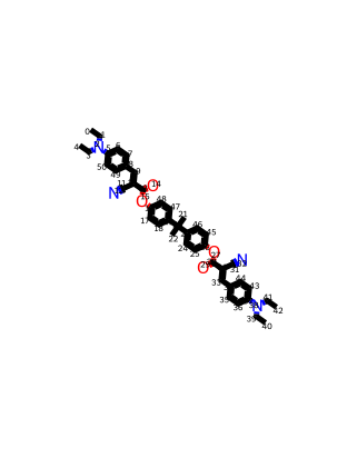 CCN(CC)c1ccc(/C=C(\C#N)C(=O)Oc2ccc(C(C)(C)c3ccc(OC(=O)/C(C#N)=C/c4ccc(N(CC)CC)cc4)cc3)cc2)cc1